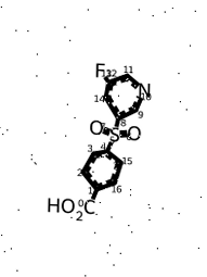 O=C(O)c1ccc(S(=O)(=O)c2cncc(F)c2)cc1